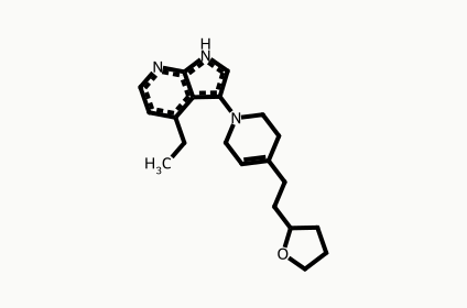 CCc1ccnc2[nH]cc(N3CC=C(CCC4CCCO4)CC3)c12